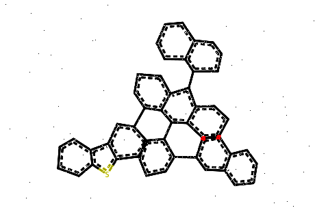 c1ccc(-c2c3ccccc3c(-c3cccc4ccccc34)c3cccc(-c4ccc5sc6ccccc6c5c4)c23)c(-c2ccc3ccccc3c2)c1